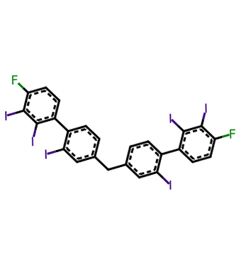 Fc1ccc(-c2ccc(Cc3ccc(-c4ccc(F)c(I)c4I)c(I)c3)cc2I)c(I)c1I